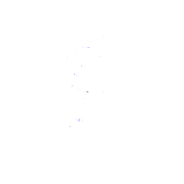 CCC[C@@H]1CC(NC(C)(C)C)CC[C@@H]1N1CC[C@H](NC(=O)O)C1=O